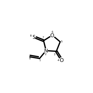 C=CN1C(=O)COC1=S